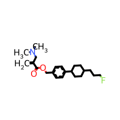 C=C(CN(C)C)C(=O)OCc1ccc(C2CCC(CCCF)CC2)cc1